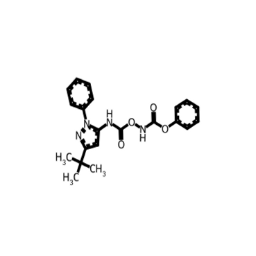 CC(C)(C)c1cc(NC(=O)ONC(=O)Oc2ccccc2)n(-c2ccccc2)n1